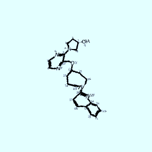 O[C@H]1CCN(c2nccnc2OC2CCN(c3ccc4ccccc4n3)CC2)C1